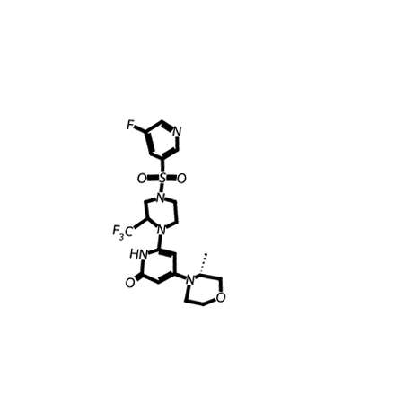 C[C@@H]1COCCN1c1cc(N2CCN(S(=O)(=O)c3cncc(F)c3)CC2C(F)(F)F)[nH]c(=O)c1